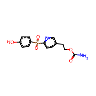 NC(=O)OCCc1ccc(S(=O)(=O)c2ccc(O)cc2)nc1